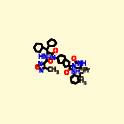 Cc1ccccc1NC(=O)C1(N2C[C@@H](C(C)C)NC2=O)Cc2ccc(NC(=O)[C@@H](NC(=O)c3nonc3C)C(C3CCCCC3)C3CCCCC3)cc2C1